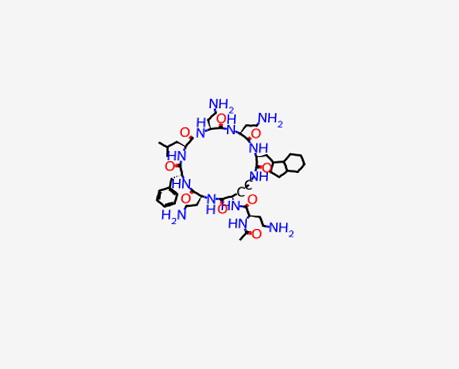 CC(=O)N[C@H](CCN)C(=O)N[C@H]1CCNC(=O)[C@H](CC2CCC3CCCCC32)NC(=O)[C@H](CCN)NC(=O)[C@H](CCN)NC(=O)[C@H](CC(C)C)NC(=O)[C@@H](Cc2ccccc2)NC(=O)[C@H](CCN)NC1=O